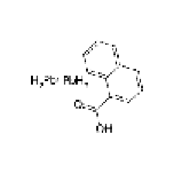 O=C(O)c1cccc2ccccc12.[PbH2].[PbH2]